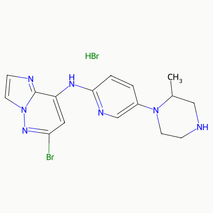 Br.CC1CNCCN1c1ccc(Nc2cc(Br)nn3ccnc23)nc1